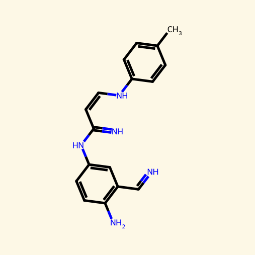 Cc1ccc(N/C=C\C(=N)Nc2ccc(N)c(C=N)c2)cc1